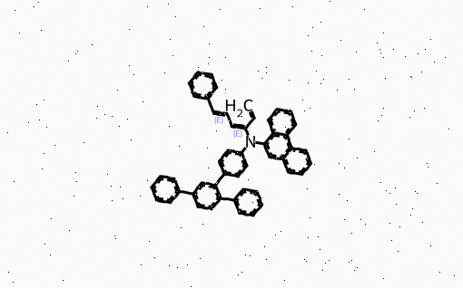 C=C/C(=C\C=C\c1ccccc1)N(c1ccc(-c2cc(-c3ccccc3)ccc2-c2ccccc2)cc1)c1cc2ccccc2c2ccccc12